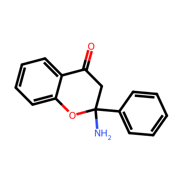 NC1(c2ccccc2)CC(=O)c2ccccc2O1